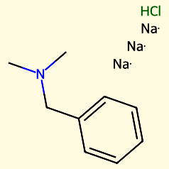 CN(C)Cc1ccccc1.Cl.[Na].[Na].[Na]